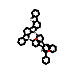 c1ccc(-c2ccc(-n3c4ccc5c6ccccc6oc5c4c4ccc5c6ccccc6n(-c6ccc(-c7nc(-c8ccccc8)c8ccccc8n7)cc6)c5c43)cc2)cc1